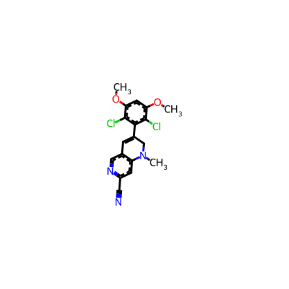 COc1cc(OC)c(Cl)c(C2=Cc3cnc(C#N)cc3N(C)C2)c1Cl